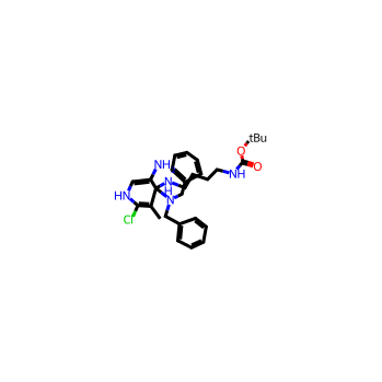 CC1=C(Cl)NC=C(N)C1(NCCCCNC(=O)OC(C)(C)C)N(Cc1ccccc1)Cc1ccccc1